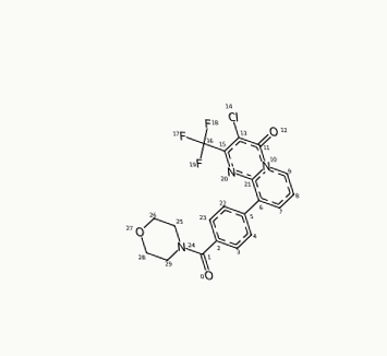 O=C(c1ccc(-c2cccn3c(=O)c(Cl)c(C(F)(F)F)nc23)cc1)N1CCOCC1